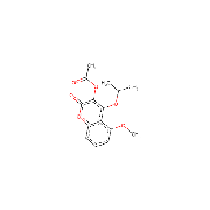 COc1cccc2oc(=O)c(OC(C)=O)c(OC(C)C)c12